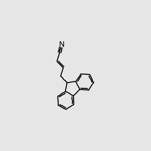 N#CC=CCC1c2ccccc2-c2ccccc21